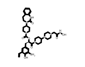 Bc1cc(C[C@@H](OC(=O)N2CCC(N3CCc4ccccc4NC3=O)CC2)C(=O)N2CCC(N3CCN(CC(=O)NO)CC3)CC2)cc(C=C)c1O